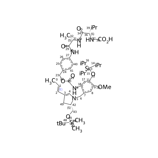 C/C=C/C1=CN(Cc2cc(OC)c(O[Si](C(C)C)(C(C)C)C(C)C)cc2NC(=O)OCc2ccc(NC(=O)[C@H](C)NC(=O)[C@@H](NC(=O)O)C(C)C)cc2)[C@H](CO[Si](C)(C)C(C)(C)C)C1